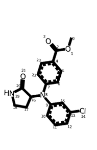 COC(=O)c1ccc(N(c2cccc(Cl)c2)C2CCNC2=O)cc1